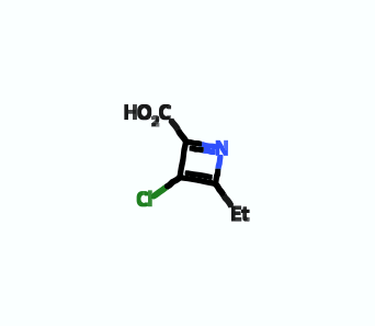 CCC1=C(Cl)C(C(=O)O)=N1